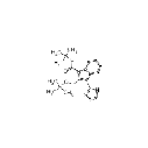 CC(C)(C)OC(=O)n1c(CO[Si](C)(C)C)c(-c2nccs2)c2ccccc21